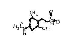 CNc1cc(C)c(CC[SH](=O)=O)c(C)c1